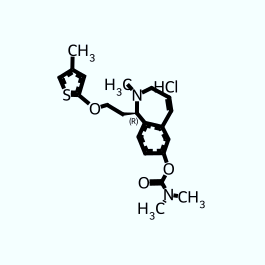 Cc1csc(OCC[C@@H]2c3ccc(OC(=O)N(C)C)cc3C=CCN2C)c1.Cl